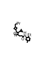 CCc1ccc(C)cc1NC(=O)CCc1noc(C2CC(CC(C)C)C2)c1C1CC1